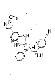 C[C@H](CN[C@H](c1ccccc1)[C@H]1CNc2cc(-c3cnn(C)c3)cnc2N1)c1ccc(C#N)cn1